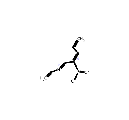 C=C/C=C(\C=N\C=C)[S+]([O-])Cl